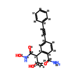 CC(O)C(C(=O)NO)c1cc(C#Cc2ccccc2)ccc1C(N)=O